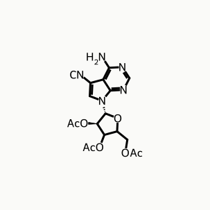 [C-]#[N+]c1cn([C@@H]2OC(COC(C)=O)C(OC(C)=O)[C@H]2OC(C)=O)c2ncnc(N)c12